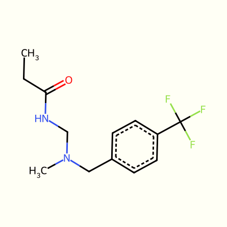 CCC(=O)NCN(C)Cc1ccc(C(F)(F)F)cc1